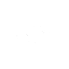 BN1CCCN(B)CCC1